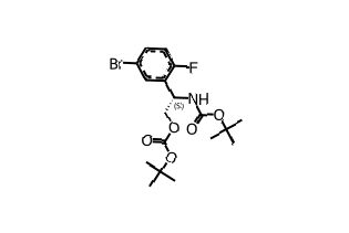 CC(C)(C)OC(=O)N[C@H](COC(=O)OC(C)(C)C)c1cc(Br)ccc1F